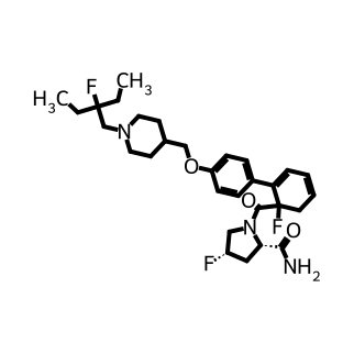 CCC(F)(CC)CN1CCC(COc2ccc(C3=CC=CCC3(F)C(=O)N3C[C@@H](F)C[C@H]3C(N)=O)cc2)CC1